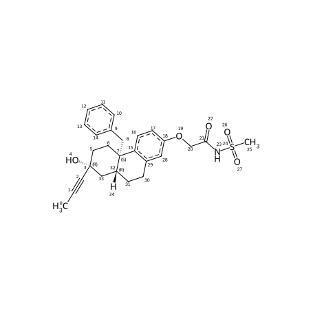 CC#C[C@@]1(O)CC[C@@]2(Cc3ccccc3)c3ccc(OCC(=O)NS(C)(=O)=O)cc3CC[C@@H]2C1